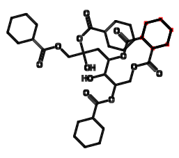 O=C(OCC(OC(=O)C1CCCCC1)C(O)C(CC(O)(COC(=O)C1CCCCC1)OC(=O)C1CCCCC1)OC(=O)C1CCCCC1)C1CCCCC1